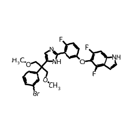 COCC(COC)(c1cccc(Br)c1)c1cnc(-c2cc(Oc3c(F)cc4[nH]ccc4c3F)ccc2F)[nH]1